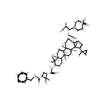 C[C@H](F)[C@@H](CN[C@]12CC[C@@H](C3(C)CC3)[C@@H]1[C@H]1CC[C@@H]3[C@@]4(C)CC[C@H](OC(=O)[C@H]5C[C@@H](C(=O)OCc6ccccc6)C5(C)C)C(C)(C)[C@@H]4CC[C@@]3(C)[C@]1(C)CC2)N1CCS(=O)(=O)CC1